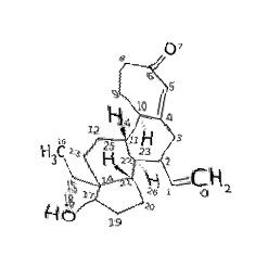 C=CC1CC2=CC(=O)CC[C@@H]2[C@H]2CCC3(CC)C(O)CC[C@H]3[C@H]12